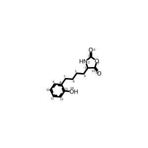 O=C1NC(CCCCc2ccccc2O)C(=O)O1